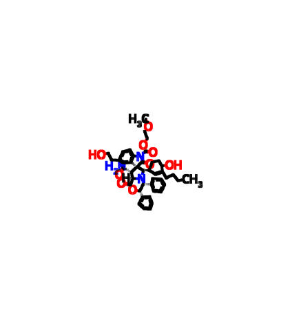 CCCCC1=CC([C@@H]2N3[C@H](c4ccccc4)[C@H](c4ccccc4)OC(=O)[C@H]3[C@H](C(N)=O)[C@@]23C(=O)N(C(=O)OCCOC)c2ccc(CCO)cc23)CCC1O